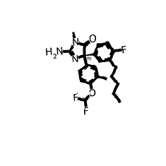 CCCCCc1cc([C@@]2(c3ccc(OC(F)F)c(C)c3)N=C(N)N(C)C2=O)ccc1F